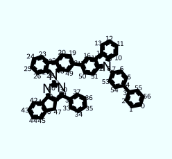 c1ccc(-c2ccc(-n3c4ccccc4c4cc(-c5ccc6c7ccccc7n(-c7nc(-c8ccccc8)c8c(n7)-c7ccccc7C8)c6c5)ccc43)cc2)cc1